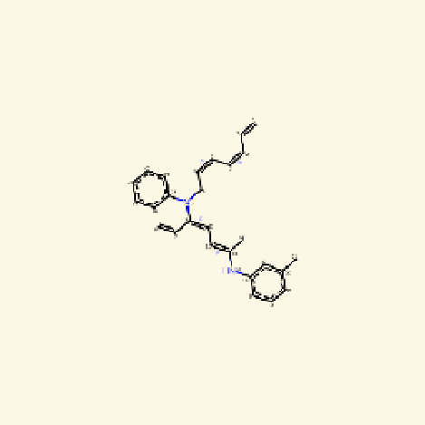 C=C/C=C\C=C/CN(/C(C=C)=C/C=C(\C)Nc1cccc(C)c1)c1ccccc1